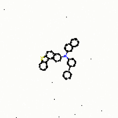 c1ccc(-c2cccc(N(c3ccc4ccccc4c3)c3ccc4c(ccc5sc6ccccc6c54)c3)c2)cc1